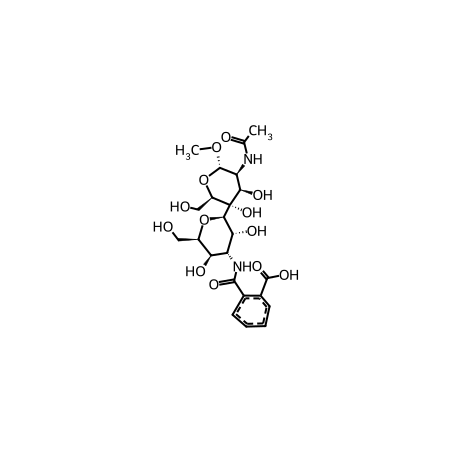 CO[C@H]1O[C@H](CO)[C@](O)([C@@H]2O[C@H](CO)[C@H](O)[C@@H](NC(=O)c3ccccc3C(=O)O)[C@H]2O)[C@H](O)[C@@H]1NC(C)=O